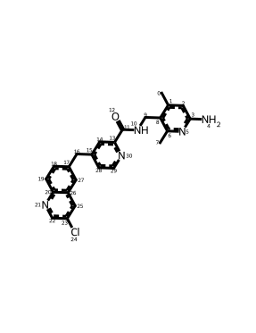 Cc1cc(N)nc(C)c1CNC(=O)c1cc(Cc2ccc3ncc(Cl)cc3c2)ccn1